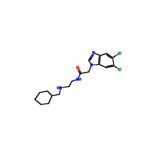 O=C(Cn1cnc2cc(Cl)c(Cl)cc21)NCCNCC1CCCCC1